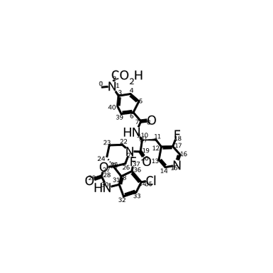 CN(C(=O)O)c1ccc(C(=O)N[C@@H](Cc2ccncc2F)C(=O)N2CCC[C@@]3(C2)OC(=O)Nc2ccc(Cl)c(F)c23)cc1